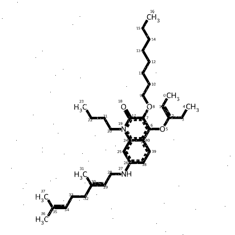 CC=C(CC)Oc1c(OCCCCCCCC)c(=O)n(CCCC)c2cc(NC/C=C(\C)CCC=C(C)C)ccc12